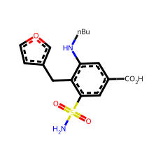 CCCCNc1cc(C(=O)O)cc(S(N)(=O)=O)c1Cc1ccoc1